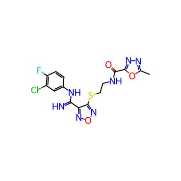 Cc1nnc(C(=O)NCCSc2nonc2C(=N)Nc2ccc(F)c(Cl)c2)o1